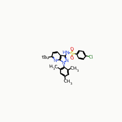 Cc1cc(C)c(-n2nc(NS(=O)(=O)c3ccc(Cl)cc3)c3ccc(C(C)(C)C)nc32)c(C)c1